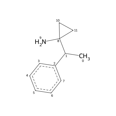 CC(c1ccccc1)C1(N)CC1